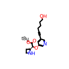 CC(C)(C)OC(=O)C(Oc1cncc(C#CCCCCO)c1)[C@@H]1CCN1